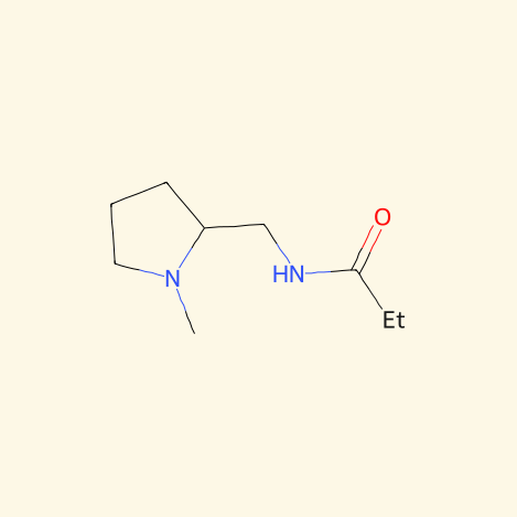 CCC(=O)NCC1CCCN1C